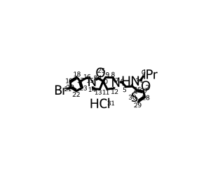 CC(C)C(=O)NC(CCN1CCC2(CC1)CCN(Cc1ccc(Br)cc1)C2=O)c1cccs1.Cl